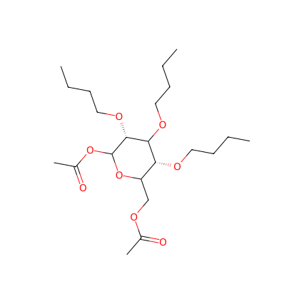 CCCCOC1[C@H](OCCCC)C(COC(C)=O)OC(OC(C)=O)[C@@H]1OCCCC